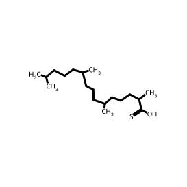 CC(C)CCCC(C)CCCC(C)CCCC(C)C(O)=S